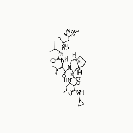 C=C(C)[C@@H](NC(=O)[C@@H](NC(=O)Cc1nn[nH]n1)C(C)C)C(=O)N1C[C@@H]2CCC[C@@H]2[C@H]1C(=O)NC(CCC)C(=O)C(=O)NC1CC1